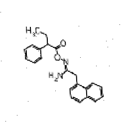 CCC(C(=O)O/N=C(\N)Cc1cccc2ccccc12)c1ccccc1